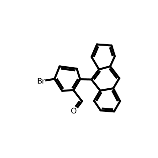 O=Cc1cc(Br)ccc1-c1c2ccccc2cc2ccccc12